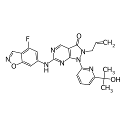 C=CCn1c(=O)c2cnc(Nc3cc(F)c4cnoc4c3)nc2n1-c1cccc(C(C)(C)O)n1